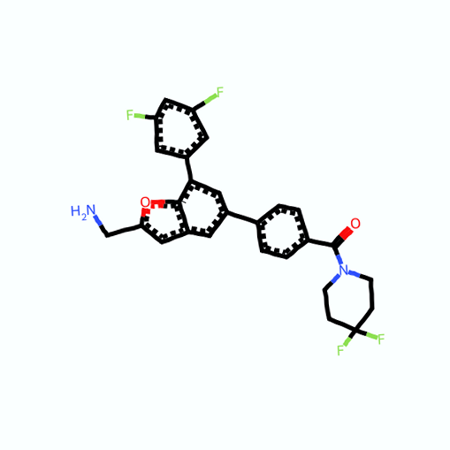 NCc1cc2cc(-c3ccc(C(=O)N4CCC(F)(F)CC4)cc3)cc(-c3cc(F)cc(F)c3)c2o1